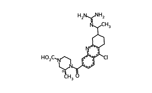 CC(N=C(N)N)C1CCc2c(nc3cc(C(=O)N4CCN(C(=O)O)C[C@@H]4C)ccc3c2Cl)C1